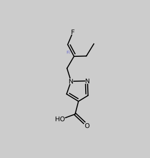 CC/C(=C\F)Cn1cc(C(=O)O)cn1